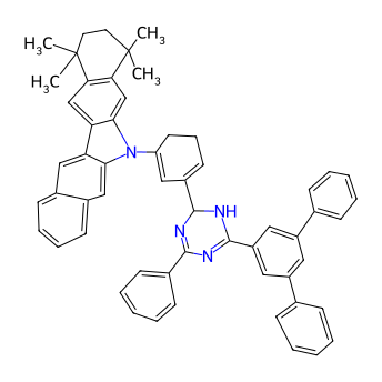 CC1(C)CCC(C)(C)c2cc3c(cc21)c1cc2ccccc2cc1n3C1=CC(C2N=C(c3ccccc3)N=C(c3cc(-c4ccccc4)cc(-c4ccccc4)c3)N2)=CCC1